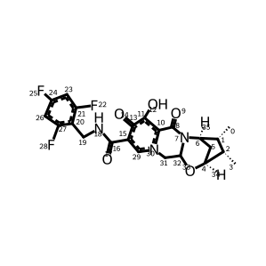 C[C@@H]1[C@H](C)[C@@H]2C[C@H]1N1C(=O)c3c(O)c(=O)c(C(=O)NCc4c(F)cc(F)cc4F)cn3CC1O2